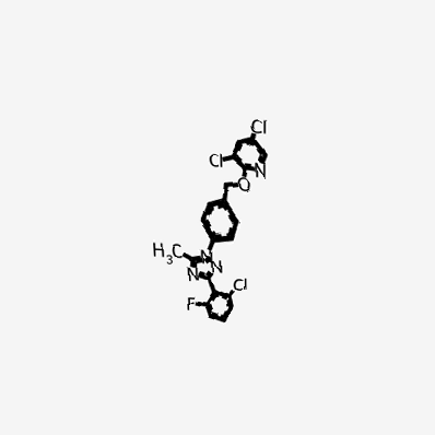 Cc1nc(-c2c(F)cccc2Cl)nn1-c1ccc(COc2ncc(Cl)cc2Cl)cc1